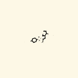 Cc1ccc(S(=O)(=O)n2c(CO)cc3c(C)ccnc32)cc1